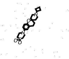 O=S1(=O)CCN(c2ccc3c(c2)CCC2(CCN(C4CCC4)CC2)O3)CC1